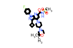 CC1(C)CN(C2CCN(c3cc(C(=O)NS(C)(=O)=O)nc4c3c(C3CCC3)nn4-c3ccc(F)cc3)CC2)CCO1